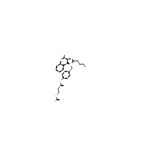 CCCCc1nc2c(N)nc3ccccc3c2n1Cc1ccc(NC(=O)CCNC(=O)O)cc1